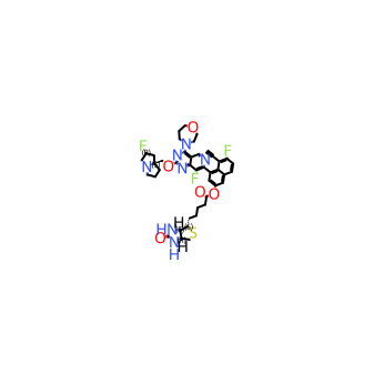 C#Cc1c(F)ccc2cc(OC(=O)CCCC[C@@H]3SC[C@@H]4NC(=O)N[C@@H]43)cc(-c3ncc4c(N5CCCOCC5)nc(OC[C@@]56CCCN5C[C@H](F)C6)nc4c3F)c12